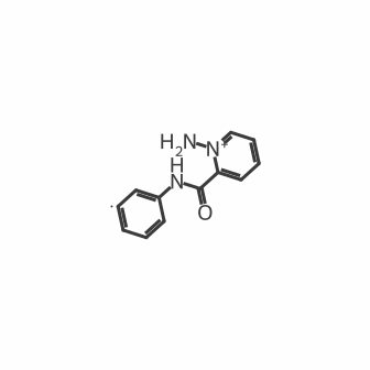 N[n+]1ccccc1C(=O)Nc1c[c]ccc1